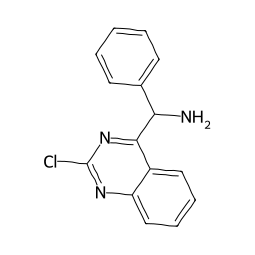 NC(c1ccccc1)c1nc(Cl)nc2ccccc12